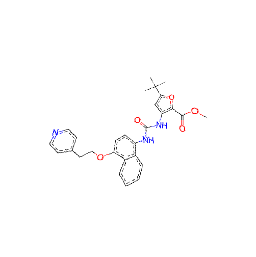 COC(=O)c1oc(C(C)(C)C)cc1NC(=O)Nc1ccc(OCCc2ccncc2)c2ccccc12